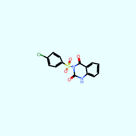 O=c1[nH]c2ccccc2c(=O)n1S(=O)(=O)c1ccc(Cl)cc1